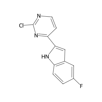 Fc1ccc2[nH]c(-c3ccnc(Cl)n3)cc2c1